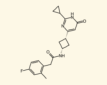 Cc1cc(F)ccc1CC(=O)N[C@H]1C[C@@H](c2cc(=O)[nH]c(C3CC3)n2)C1